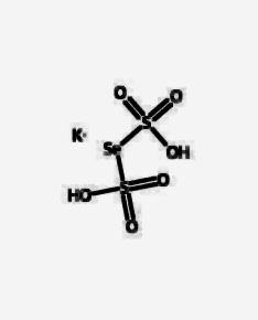 O=S(=O)(O)[Se]S(=O)(=O)O.[K]